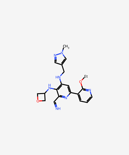 CCOc1ncccc1-c1cc(NCc2cnn(C)c2)c(NC2COC2)c(C=N)n1